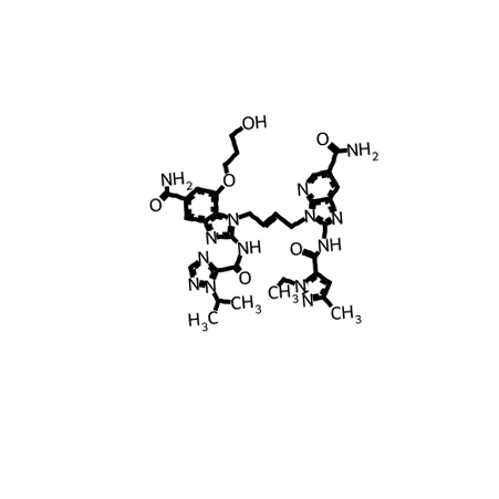 CCn1nc(C)cc1C(=O)Nc1nc2cc(C(N)=O)cnc2n1C/C=C/Cn1c(NC(=O)c2ncnn2C(C)C)nc2cc(C(N)=O)cc(OCCCO)c21